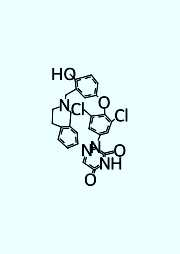 O=c1cnn(-c2cc(Cl)c(Oc3ccc(O)c(CN4CCc5ccccc5C4)c3)c(Cl)c2)c(=O)[nH]1